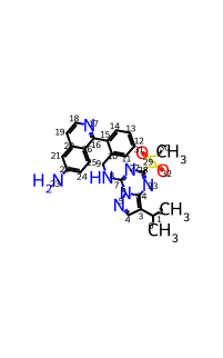 CC(C)c1cnn2c(NCc3ccccc3-c3nccc4cc(N)ccc34)nc(S(C)(=O)=O)nc12